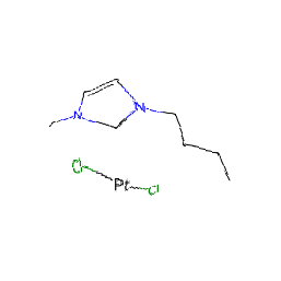 CCCCN1C=CN(C)C1.[Cl][Pt][Cl]